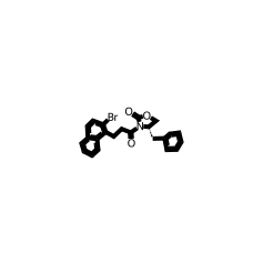 O=C(CCc1c(Br)ccc2ccccc12)N1C(=O)OC[C@@H]1Cc1ccccc1